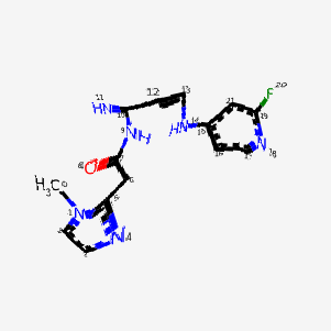 Cn1ccnc1CC(=O)NC(=N)/C=C\Nc1ccnc(F)c1